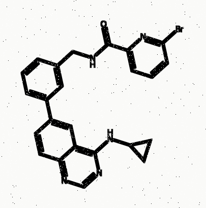 O=C(NCc1cccc(-c2ccc3ncnc(NC4CC4)c3c2)c1)c1cccc(Br)n1